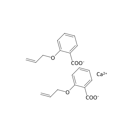 C=CCOc1ccccc1C(=O)[O-].C=CCOc1ccccc1C(=O)[O-].[Ca+2]